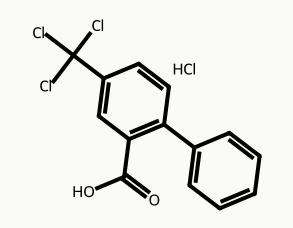 Cl.O=C(O)c1cc(C(Cl)(Cl)Cl)ccc1-c1ccccc1